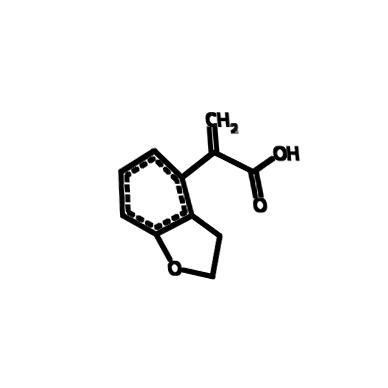 C=C(C(=O)O)c1cccc2c1CCO2